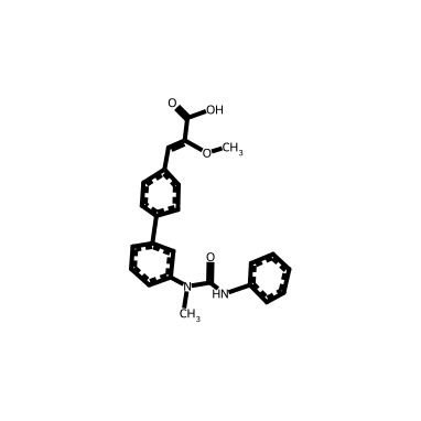 COC(=Cc1ccc(-c2cccc(N(C)C(=O)Nc3ccccc3)c2)cc1)C(=O)O